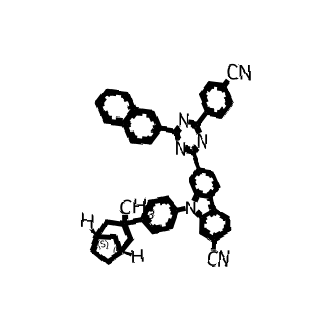 CC1(c2ccc(-n3c4cc(C#N)ccc4c4ccc(-c5nc(-c6ccc(C#N)cc6)nc(-c6ccc7ccccc7c6)n5)cc43)cc2)C[C@@H]2CC[C@@H](C2)C1